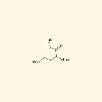 CCCCCCCCCCCC(CCCCCC)C(=O)OC(C)C